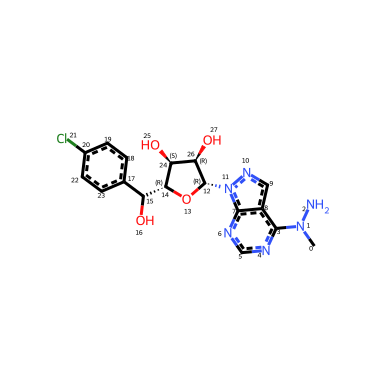 CN(N)c1ncnc2c1cnn2[C@@H]1O[C@H](C(O)c2ccc(Cl)cc2)[C@@H](O)[C@H]1O